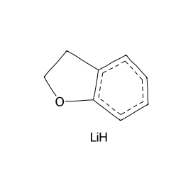 [LiH].c1ccc2c(c1)CCO2